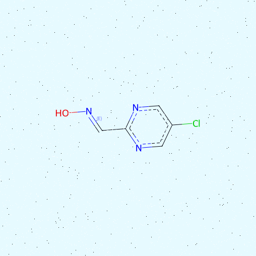 O/N=C/c1ncc(Cl)cn1